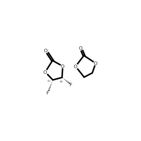 O=C1OCCO1.O=C1O[C@@H](F)[C@@H](F)O1